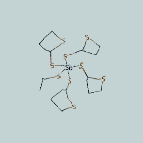 CC[S][Sb]([S]C1CCS1)([S]C1CCS1)([S]C1CCS1)[S]C1CCS1